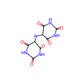 O=C1NC(=O)C([N]C2C(=O)NC(=O)NC2=O)C(=O)N1